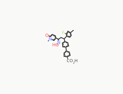 Cc1ccc(C(CC(=NO)c2ccc(=O)n(C)c2)c2ccc(-c3ccc(C(=O)O)cc3)cc2)c(F)c1